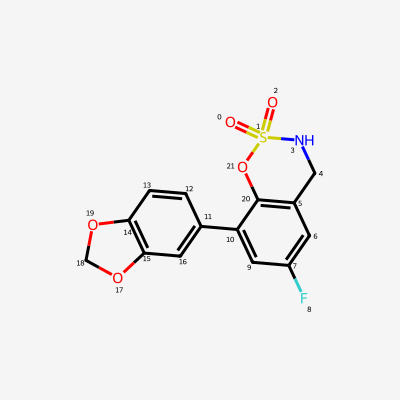 O=S1(=O)NCc2cc(F)cc(-c3ccc4c(c3)OCO4)c2O1